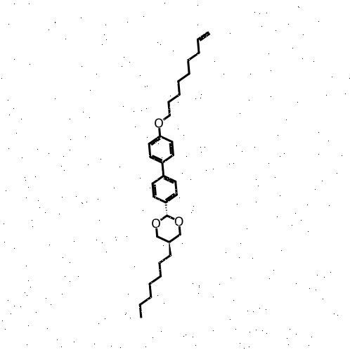 C=CCCCCCCCOc1ccc(-c2ccc([C@H]3OC[C@H](CCCCCCC)CO3)cc2)cc1